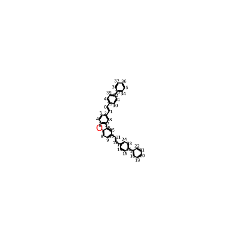 C(=C\c1ccc2oc3ccc(/C=C/c4ccc(-c5ccccc5)cc4)cc3c2c1)/c1ccc(-c2ccccc2)cc1